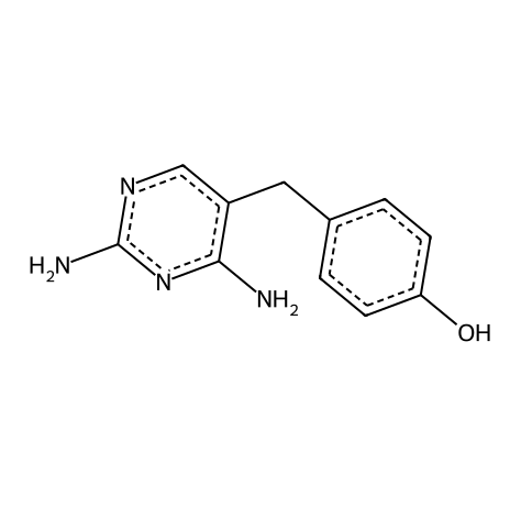 Nc1ncc(Cc2ccc(O)cc2)c(N)n1